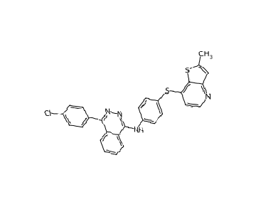 Cc1cc2nccc(Sc3ccc(Nc4nnc(-c5ccc(Cl)cc5)c5ccccc45)cc3)c2s1